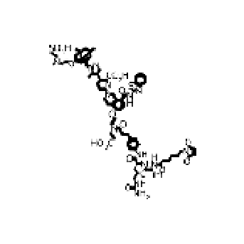 Cc1c(-c2ccc(N3CCc4c(OCCN(CCC(=O)O)C(=O)CCc5ccc(NC(=O)[C@H](CCCNC(N)=O)NC(=O)[C@@H](NC(=O)CCCCCN6C(=O)C=CC6=O)C(C)C)cc5)ccc(C(=O)Nc5nc6ccccc6s5)c4C3)nc2C(=O)O)cnn1CC12CC3(C)CC(C)(C1)CC(OCCN(C)CCS(=O)(=O)O)(C3)C2